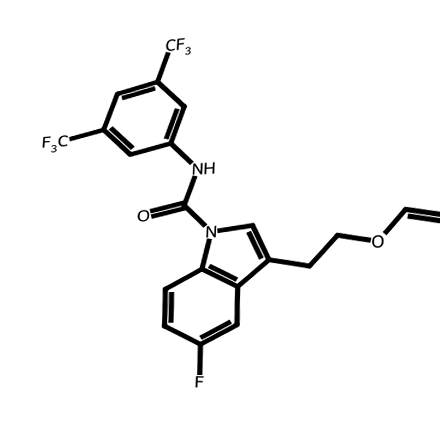 C=COCCc1cn(C(=O)Nc2cc(C(F)(F)F)cc(C(F)(F)F)c2)c2ccc(F)cc12